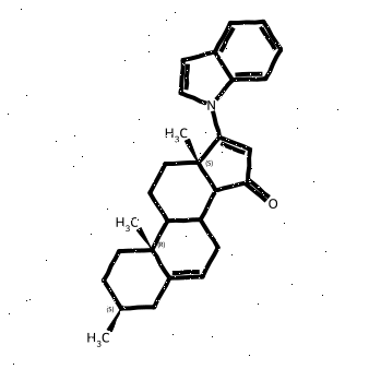 C[C@H]1CC[C@@]2(C)C(=CCC3C2CC[C@]2(C)C(n4ccc5ccccc54)=CC(=O)C32)C1